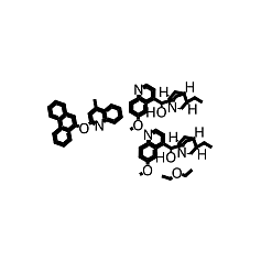 CCOCC.CC[C@H]1C[N@]2CC[C@H]1C[C@@H]2[C@@H](O)c1ccnc2ccc(OC)cc12.CC[C@H]1C[N@]2CC[C@H]1C[C@@H]2[C@@H](O)c1ccnc2ccc(OC)cc12.Cc1cc(Oc2cc3ccccc3c3ccccc23)nc2ccccc12